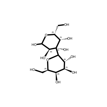 OC[C@H]1OC([C@@]2(O)[C@@H](O)C(O)O[C@H](CO)[C@@H]2O)[C@H](O)[C@@H](O)[C@H]1O